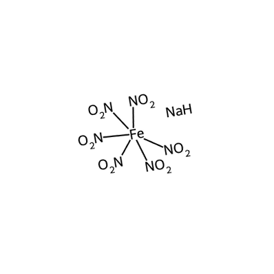 O=[N+]([O-])[Fe]([N+](=O)[O-])([N+](=O)[O-])([N+](=O)[O-])([N+](=O)[O-])[N+](=O)[O-].[NaH]